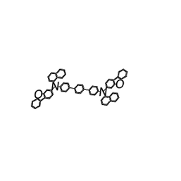 c1ccc2c(N(c3ccc(-c4ccc(-c5ccc(N(c6ccc7c(c6)oc6ccccc67)c6cccc7ccccc67)cc5)cc4)cc3)c3ccc4c(c3)oc3ccccc34)cccc2c1